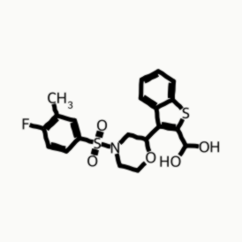 Cc1cc(S(=O)(=O)N2CCOC(c3c(C(O)O)sc4ccccc34)C2)ccc1F